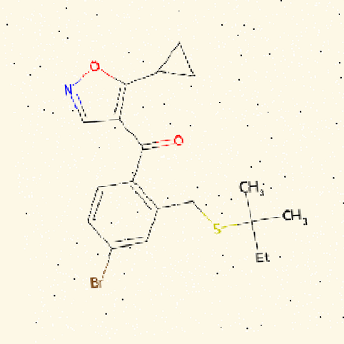 CCC(C)(C)SCc1cc(Br)ccc1C(=O)c1cnoc1C1CC1